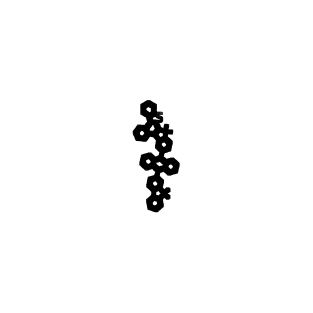 CC1(C)c2ccccc2-c2ccc(-c3c4ccccc4c(-c4ccc5c(c4)-c4c(c6sc7ccccc7c6c6ccccc46)C5(C)C)c4ccccc34)cc21